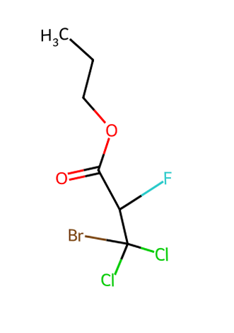 CCCOC(=O)C(F)C(Cl)(Cl)Br